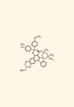 COc1ccc(C2(c3ccc(OC)cc3)C=Cc3c4c(c5cc6c(cc5c3O2)OCC(CO)O6)-c2ccccc2C42CC(C)(C)CC(C)(C)C2)cc1